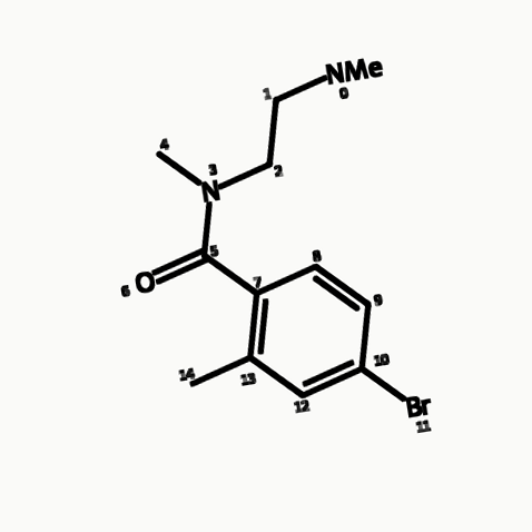 CNCCN(C)C(=O)c1ccc(Br)cc1C